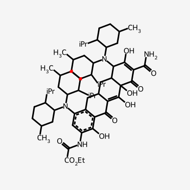 CCOC(=O)C(=O)Nc1cc(N(C2CC(C)CCC2C(C)C)C2CC(C)CCC2C(C)C)c2c(c1O)C(=O)C1=C(O)C3(O)C(=O)C(C(N)=O)=C(O)C(N(C4CC(C)CCC4C(C)C)C4CC(C)CCC4C(C)C)C3CC1C2